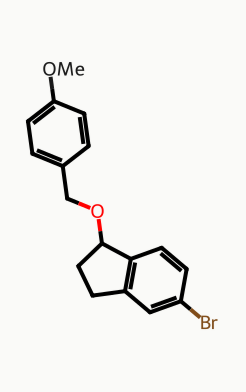 COc1ccc(COC2CCc3cc(Br)ccc32)cc1